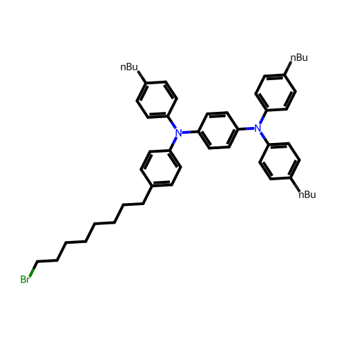 CCCCc1ccc(N(c2ccc(CCCC)cc2)c2ccc(N(c3ccc(CCCC)cc3)c3ccc(CCCCCCCCBr)cc3)cc2)cc1